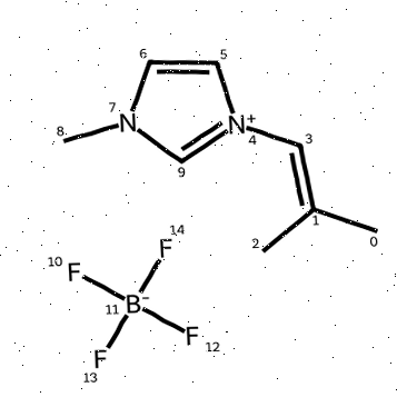 CC(C)=C[n+]1ccn(C)c1.F[B-](F)(F)F